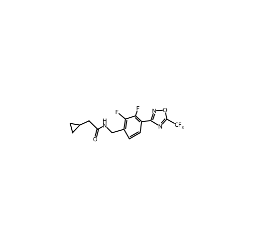 O=C(CC1CC1)NCc1ccc(-c2noc(C(F)(F)F)n2)c(F)c1F